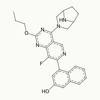 CCCOc1nc(N2CC3CCC(C2)N3)c2cnc(-c3cc(O)cc4ccccc34)c(F)c2n1